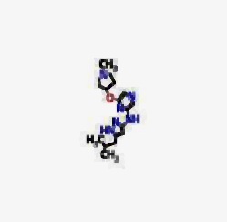 CC(C)Cc1cc(Nc2cncc(OC3CCN(C)CC3)n2)n[nH]1